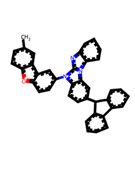 Cc1ccc2oc3ccc(-n4c5ccc(C6c7ccccc7-c7ccccc76)cc5n5c6ccccc6nc45)cc3c2c1